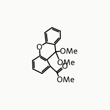 COC(=O)c1cccc2c1C(OC)(OC)c1ccccc1O2